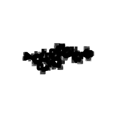 O=C1c2c(F)cc(C3CC3)cc2OCCN1c1cccc(-c2ccnc3[nH]c(-c4cn(C5COC5)cn4)cc23)c1CO